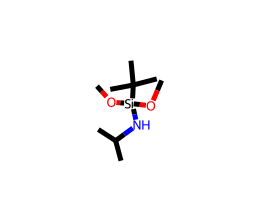 CO[Si](NC(C)C)(OC)C(C)(C)C